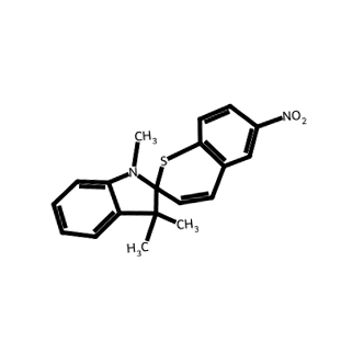 CN1c2ccccc2C(C)(C)C12C=Cc1cc([N+](=O)[O-])ccc1S2